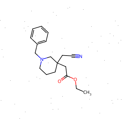 CCOC(=O)CC1(CC#N)CCCN(Cc2ccccc2)C1